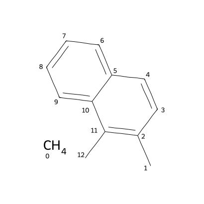 C.Cc1ccc2ccccc2c1C